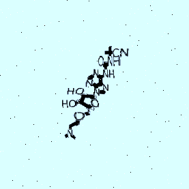 CN(C)CCOC[C@H]1O[C@@H](n2cnc3c(NC(=O)NC(C)(C)C#N)ncnc32)[C@H](O)[C@@H]1O